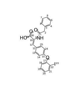 O=C(Cc1ccccc1)N/C(=C\c1ccc(Oc2ccccc2I)cc1)C(=O)O